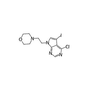 Clc1ncnc2c1c(I)cn2CCN1CCOCC1